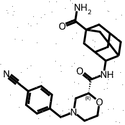 N#Cc1ccc(CN2CCO[C@@H](C(=O)NC3C4CC5CC3CC(C(N)=O)(C5)C4)C2)cc1